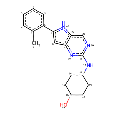 Cc1ccccc1-c1cc2nc(N[C@H]3CC[C@@H](O)CC3)ncc2[nH]1